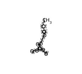 CCC[C@H]1CC[C@H](c2ccc(OCCCCCOC(=O)c3cc(OCC4CO4)cc(OCC4CO4)c3)cc2)CC1